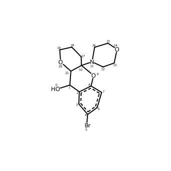 OC1c2cc(Br)ccc2OC2(N3CCOCC3)CCCOC12